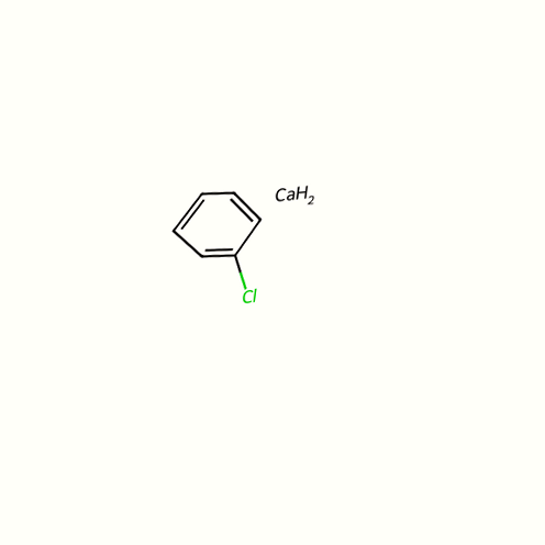 Clc1ccccc1.[CaH2]